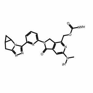 CNC(=O)OCc1nc(N(C)C(C)C)cc2c1CN(c1cccc(-c3nnc4n3C3CC3C4)n1)C2=O